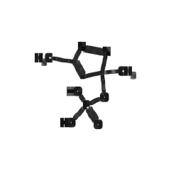 CC1=CC(C)(OP(=O)(O)O)N=N1